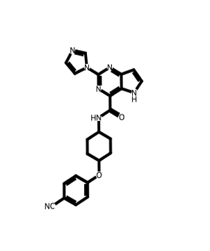 N#Cc1ccc(OC2CCC(NC(=O)c3nc(-n4ccnc4)nc4cc[nH]c34)CC2)cc1